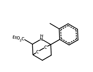 CCOC(=O)C1NC2(c3ccccc3C)CCC1CC2